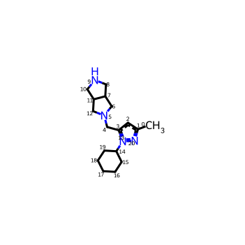 Cc1cc(CN2CC3CNCC3C2)n(C2CCCCC2)n1